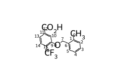 Cc1ccccc1COc1cc(C(=O)O)ccc1C(F)(F)F